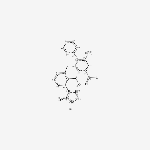 C/C(=N/OCc1c(C)cccc1-n1nnn(C)c1=O)c1ccc(-c2ccccc2)c(C(F)(F)F)c1